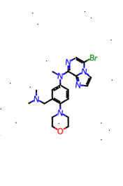 CN(C)Cc1cc(N(C)c2ncc(Br)n3ccnc23)ccc1N1CCOCC1